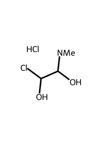 CNC(O)C(O)Cl.Cl